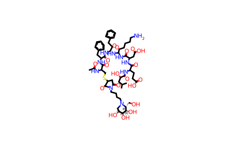 CC(=O)NC(CSC1CC(=O)N(CCCCN2C[C@H](O)[C@@H](O)[C@H](O)[C@H]2CO)C1=O)C(=O)NC(Cc1ccccc1)C(=O)NC(NC(NC(=O)C(CC(=O)O)NC(=O)C(CCC(=O)O)NC(=O)C(O)CC(C)C)C(=O)CCCCN)C(=O)Cc1ccccc1